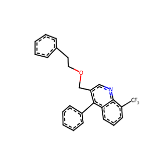 FC(F)(F)c1cccc2c(-c3ccccc3)c(COCCc3ccccc3)cnc12